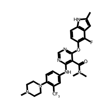 Cc1cc2c(F)c(Oc3ncnc(Nc4ccc(N5CCN(C)CC5)c(C(F)(F)F)c4)c3C(=O)N(C)C)ccc2[nH]1